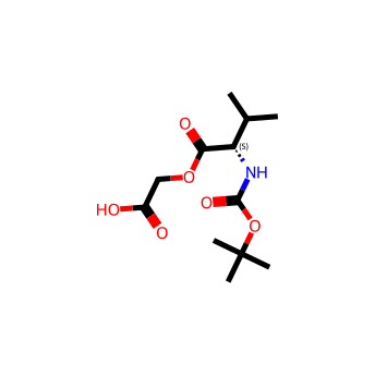 CC(C)[C@H](NC(=O)OC(C)(C)C)C(=O)OCC(=O)O